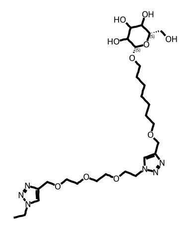 CCn1cc(COCCOCCOCCn2cc(COCCCCCCCO[C@H]3O[C@@H](CO)C(O)C(O)C3O)nn2)nn1